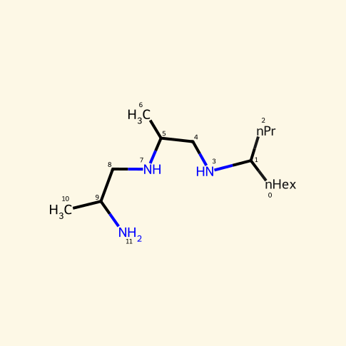 CCCCCCC(CCC)NCC(C)NCC(C)N